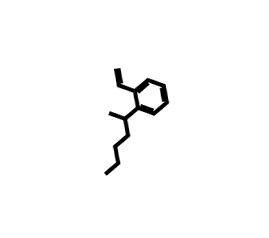 C=Cc1ccccc1C(C)CCCC